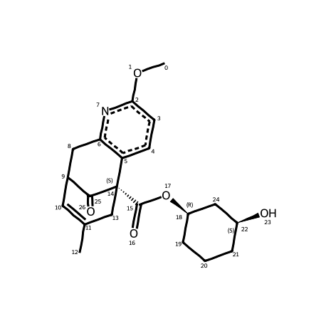 COc1ccc2c(n1)CC1C=C(C)C[C@@]2(C(=O)O[C@@H]2CCC[C@H](O)C2)C1=O